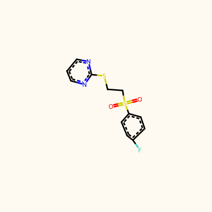 O=S(=O)(CCSc1ncccn1)c1ccc(F)cc1